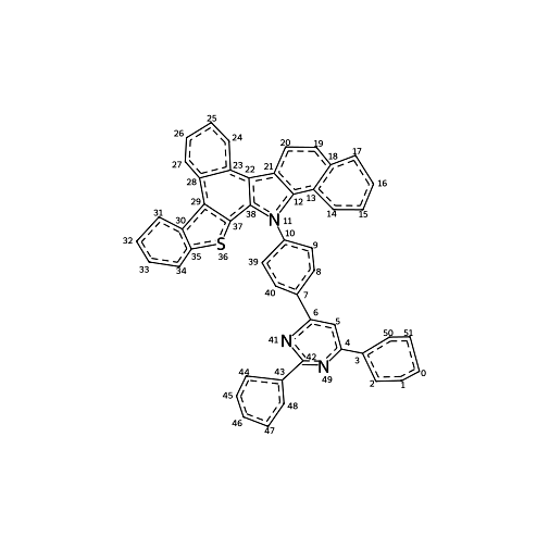 c1ccc(-c2cc(-c3ccc(-n4c5c6ccccc6ccc5c5c6ccccc6c6c7ccccc7sc6c54)cc3)nc(-c3ccccc3)n2)cc1